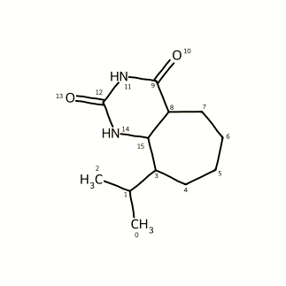 CC(C)C1CCCCC2C(=O)NC(=O)NC21